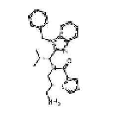 CC(C)[C@H](c1nc2ccccc2n1Cc1ccccc1)N(CCCN)C(=O)c1cccs1